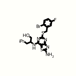 CC(C)CC(CO)Nc1nc(SCc2cc(F)ccc2Br)nc2nc(N)sc12